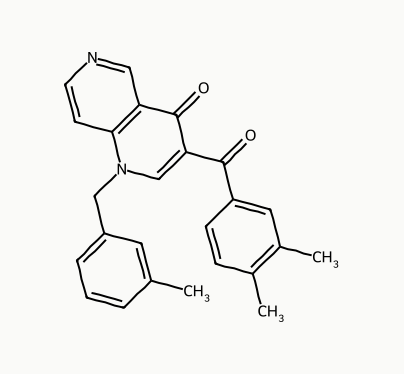 Cc1cccc(Cn2cc(C(=O)c3ccc(C)c(C)c3)c(=O)c3cnccc32)c1